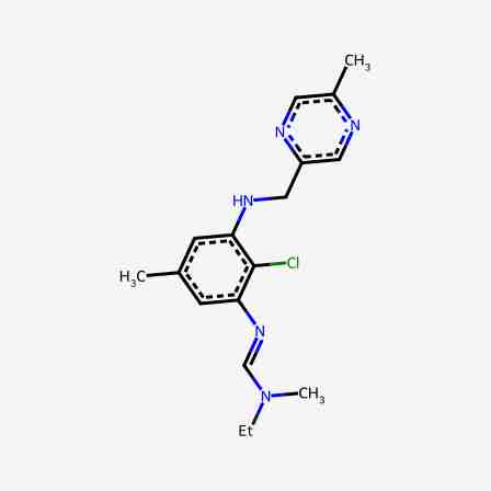 CCN(C)C=Nc1cc(C)cc(NCc2cnc(C)cn2)c1Cl